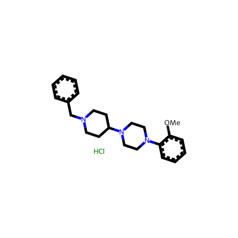 COc1ccccc1N1CCN(C2CCN(Cc3ccccc3)CC2)CC1.Cl